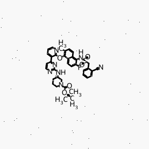 Cc1ccc2c(NS(=O)(=O)Cc3ccccc3C#N)c(F)ccc2c1Oc1ncccc1-c1ccnc(N[C@H]2CCCN(C(=O)OC(C)(C)C)C2)n1